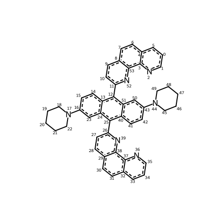 c1cnc2c(c1)ccc1ccc(-c3c4ccc(N5CCCCC5)cc4c(-c4ccc5ccc6cccnc6c5n4)c4ccc(N5CCCCC5)cc34)nc12